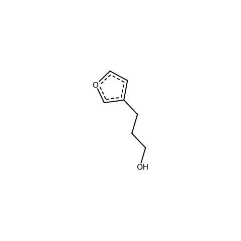 OCCCc1ccoc1